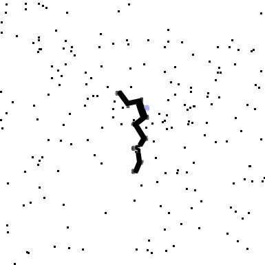 CC/C=C\CCSCC